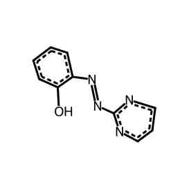 Oc1ccccc1N=Nc1ncccn1